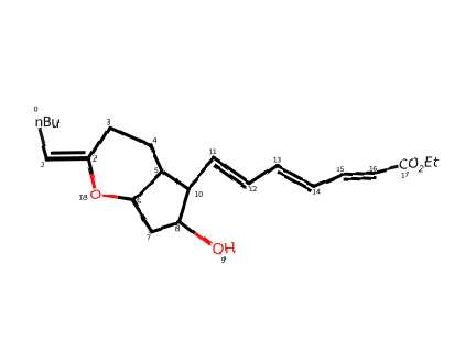 CCCCC=C1CCC2C(CC(O)C2C=CC=CC=CC(=O)OCC)O1